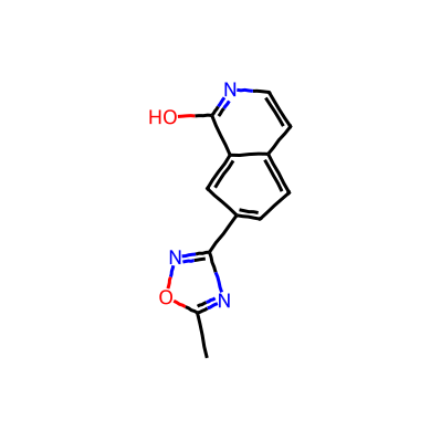 Cc1nc(-c2ccc3ccnc(O)c3c2)no1